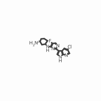 N[C@@H]1CCCC(Nc2nc(-c3c[nH]c4ncc(Cl)cc34)ncc2F)C1